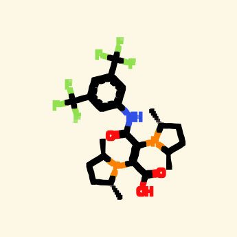 C[C@@H]1CC[C@@H](C)P1C(C(=O)O)=C(C(=O)Nc1cc(C(F)(F)F)cc(C(F)(F)F)c1)P1[C@H](C)CC[C@H]1C